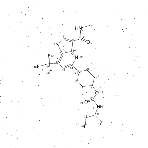 CNC(=O)c1csc2c(C(F)(F)F)cc(N3CCC(OC(=O)N[C@H](C)CF)CC3)nc12